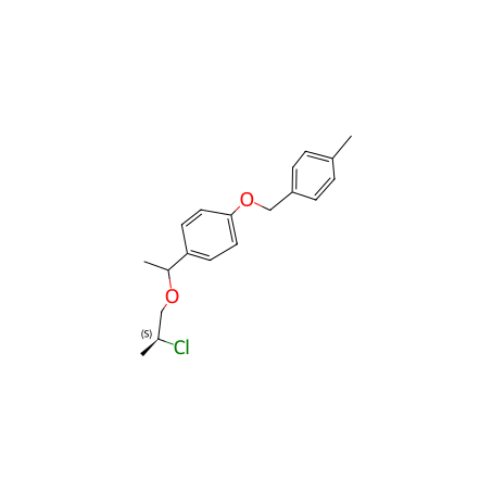 Cc1ccc(COc2ccc(C(C)OC[C@H](C)Cl)cc2)cc1